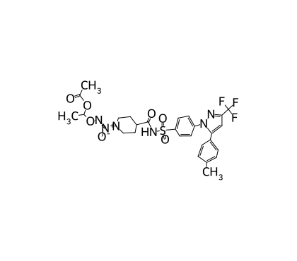 CC(=O)OC(C)O/N=[N+](\[O-])N1CCC(C(=O)NS(=O)(=O)c2ccc(-n3nc(C(F)(F)F)cc3-c3ccc(C)cc3)cc2)CC1